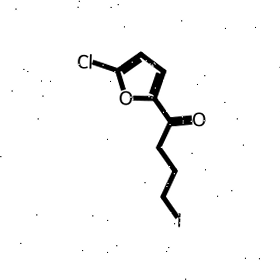 O=C(CCCI)c1ccc(Cl)o1